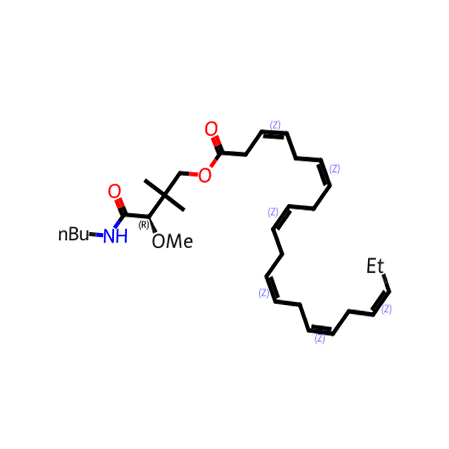 CC/C=C\C/C=C\C/C=C\C/C=C\C/C=C\C/C=C\CC(=O)OCC(C)(C)[C@@H](OC)C(=O)NCCCC